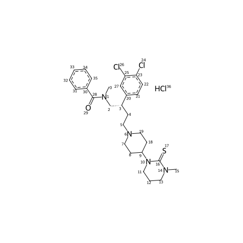 CN(C[C@@H](CCN1CCC(N2CCCN(C)C2=S)CC1)c1ccc(Cl)c(Cl)c1)C(=O)c1ccccc1.Cl